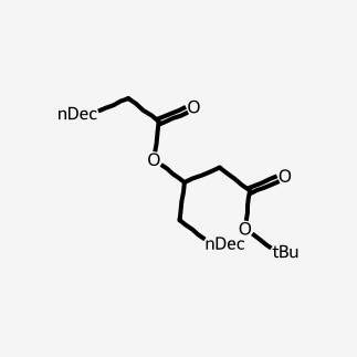 CCCCCCCCCCCC(=O)OC(CCCCCCCCCCC)CC(=O)OC(C)(C)C